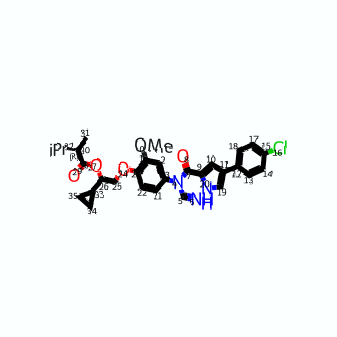 COc1cc(N(C=N)C(=O)c2cc(-c3ccc(Cl)cc3)c[nH]2)ccc1OCC(OC(=O)[C@H](C)C(C)C)C1CC1